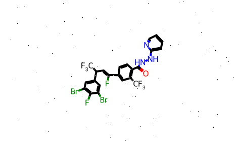 O=C(NNc1ccccn1)c1ccc(C(F)=CC(c2cc(Br)c(F)c(Br)c2)C(F)(F)F)cc1C(F)(F)F